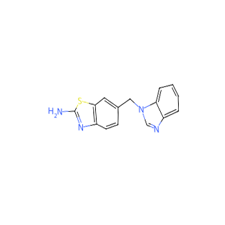 Nc1nc2ccc(Cn3cnc4ccccc43)cc2s1